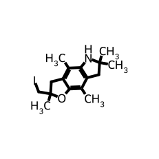 Cc1c2c(c(C)c3c1NC(C)(C)C3)OC(C)(CI)C2